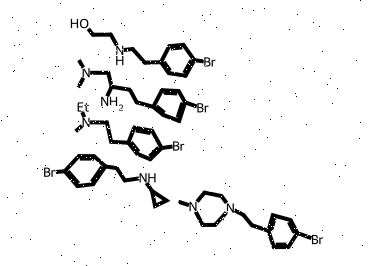 Brc1ccc(CCNC2CC2)cc1.CCN(C)CCc1ccc(Br)cc1.CN(C)CC(N)CCc1ccc(Br)cc1.CN1CCN(CCc2ccc(Br)cc2)CC1.OCCNCCc1ccc(Br)cc1